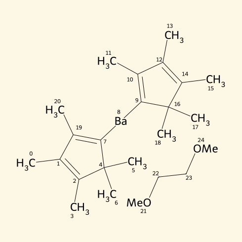 CC1=C(C)C(C)(C)[C]([Ba][C]2=C(C)C(C)=C(C)C2(C)C)=C1C.COCCOC